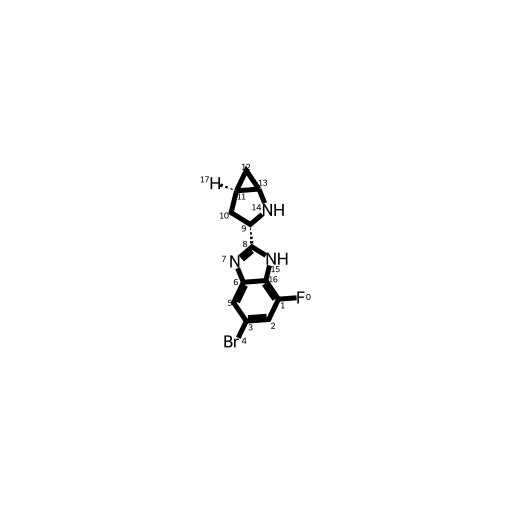 Fc1cc(Br)cc2nc([C@@H]3C[C@H]4CC4N3)[nH]c12